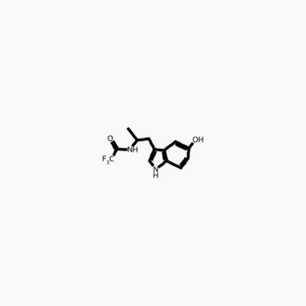 CC(Cc1c[nH]c2ccc(O)cc12)NC(=O)C(F)(F)F